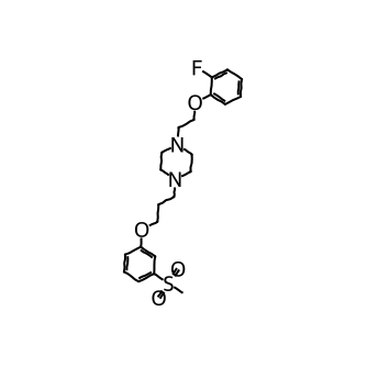 CS(=O)(=O)c1cccc(OCCCN2CCN(CCOc3ccccc3F)CC2)c1